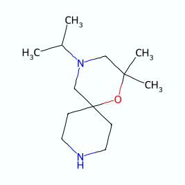 CC(C)N1CC(C)(C)OC2(CCNCC2)C1